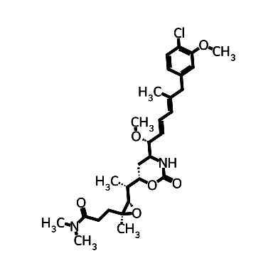 COc1cc(C/C(C)=C/C=C/[C@@H](OC)C2C[C@@H]([C@@H](C)[C@@H]3O[C@@]3(C)CCC(=O)N(C)C)OC(=O)N2)ccc1Cl